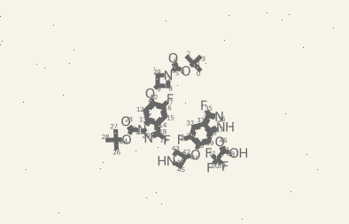 CC(C)(C)OC(=O)N1CC(Oc2cc3c(cc2F)c(F)nn3C(=O)OC(C)(C)C)C1.Fc1cc2c(F)n[nH]c2cc1OC1CNC1.O=C(O)C(F)(F)F